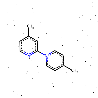 Cc1cc[n+](-c2cc(C)ccn2)cc1